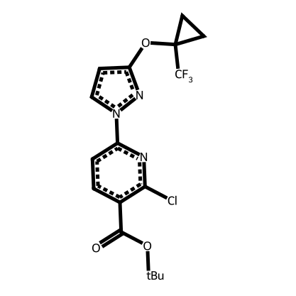 CC(C)(C)OC(=O)c1ccc(-n2ccc(OC3(C(F)(F)F)CC3)n2)nc1Cl